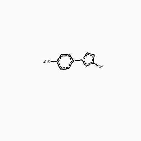 COc1ccc(-n2ccc(C#N)n2)cc1